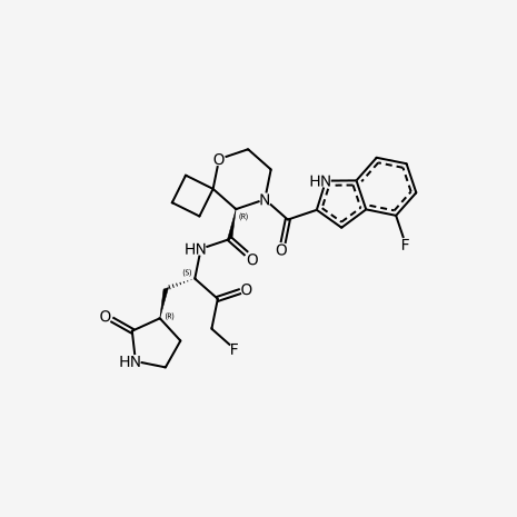 O=C1NCC[C@@H]1C[C@H](NC(=O)[C@@H]1N(C(=O)c2cc3c(F)cccc3[nH]2)CCOC12CCC2)C(=O)CF